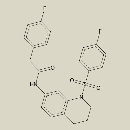 O=C(Cc1ccc(F)cc1)Nc1ccc2c(c1)N(S(=O)(=O)c1ccc(F)cc1)CCC2